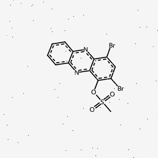 CS(=O)(=O)Oc1c(Br)cc(Br)c2nc3ccccc3nc12